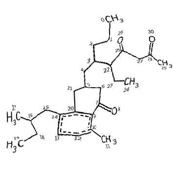 CCCC(CC1CC(=O)c2c(C)ccc(CC(C)CC)c2C1)C(CC)C(=O)CC(C)=O